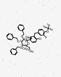 [2H]C([2H])([2H])Oc1ccc(Cc2cc([C@]3(OC)O[C@@](C=O)(CO)[C@@H](OCc4ccccc4)[C@H](OCc4ccccc4)[C@H]3OCc3ccccc3)ccc2Cl)cc1F